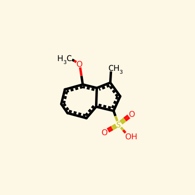 COc1ccccc2c(S(=O)(=O)O)cc(C)c1-2